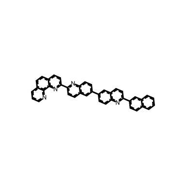 c1ccc2cc(-c3ccc4cc(-c5ccc6nc(-c7ccc8ccc9cccnc9c8n7)ccc6c5)ccc4n3)ccc2c1